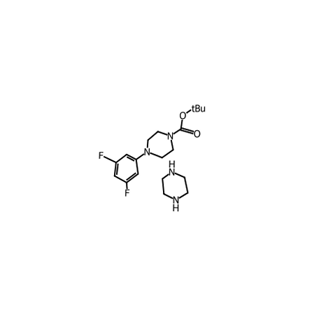 C1CNCCN1.CC(C)(C)OC(=O)N1CCN(c2cc(F)cc(F)c2)CC1